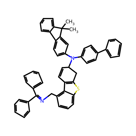 CC1(C)c2ccccc2-c2ccc(N(c3ccc(-c4ccccc4)cc3)C3C=Cc4c(sc5cccc(CN=C(c6ccccc6)c6ccccc6)c45)C3)cc21